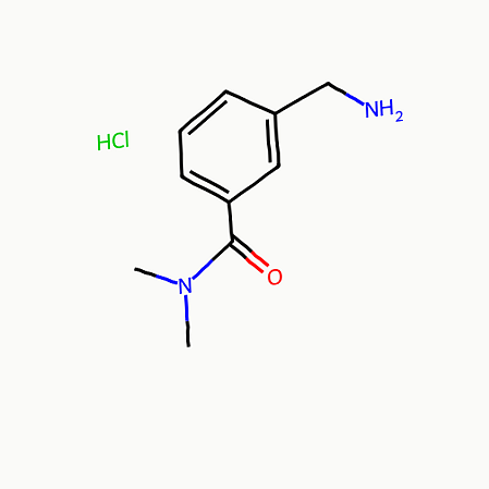 CN(C)C(=O)c1cccc(CN)c1.Cl